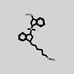 CCCCCCC1CC(S(C)(C)C2CC(CCCCCCOC(C)(C)C)c3ccccc32)c2ccccc21